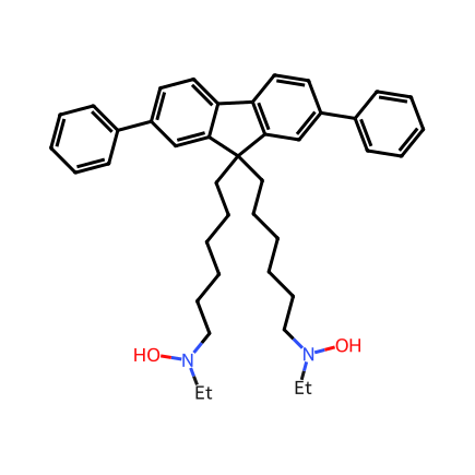 CCN(O)CCCCCCC1(CCCCCCN(O)CC)c2cc(-c3ccccc3)ccc2-c2ccc(-c3ccccc3)cc21